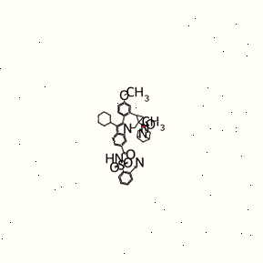 COc1ccc2c(c1)C1CC1(C(=O)N1C3CC1CN(C)C3)Cn1c-2c(C2CCCCC2)c2ccc(C(=O)NS(=O)(=O)c3ccccc3C#N)cc21